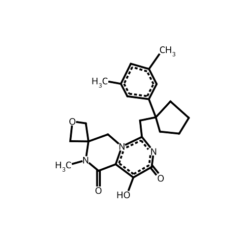 Cc1cc(C)cc(C2(Cc3nc(=O)c(O)c4n3CC3(COC3)N(C)C4=O)CCCC2)c1